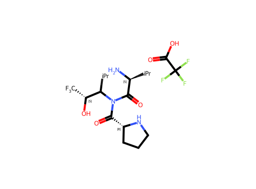 CC(C)C([C@H](O)C(F)(F)F)N(C(=O)[C@@H](N)C(C)C)C(=O)[C@H]1CCCN1.O=C(O)C(F)(F)F